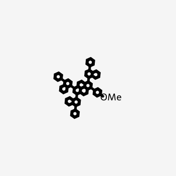 COc1ccc(-c2cc(-c3ccc(-c4ccccc4)c4ccccc34)c3ccc4c(-c5ccc(-c6ccccc6)c6ccccc56)cc(-c5ccc(-c6ccccc6)c6ccccc56)c5ccc2c3c54)cc1